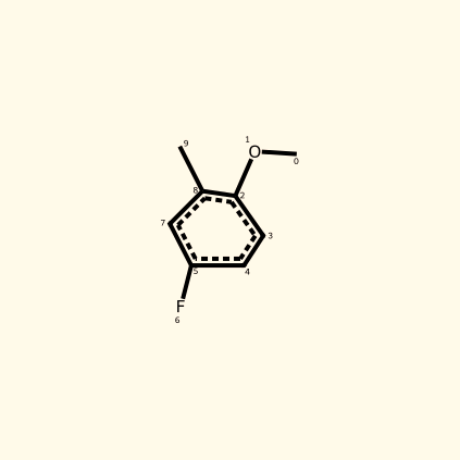 COc1ccc(F)cc1C